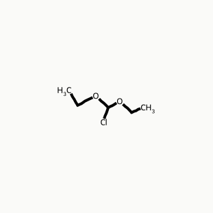 CCOC(Cl)OCC